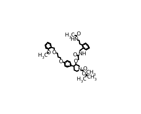 COc1ccccc1COCCCOc1ccc(C2CCN(C(=O)OC(C)(C)C)CC2OCC(=O)NCc2ccccc2CCNC(C)=O)cc1